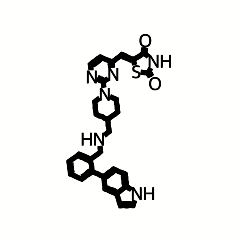 O=C1NC(=O)C(=Cc2ccnc(N3CCC(CNCc4ccccc4-c4ccc5[nH]ccc5c4)CC3)n2)S1